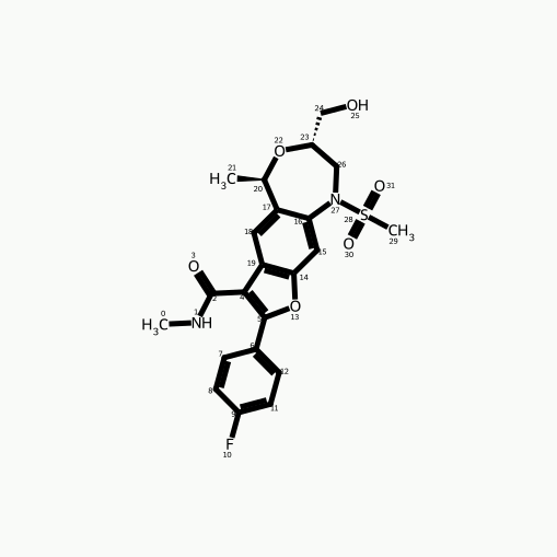 CNC(=O)c1c(-c2ccc(F)cc2)oc2cc3c(cc12)[C@@H](C)O[C@H](CO)CN3S(C)(=O)=O